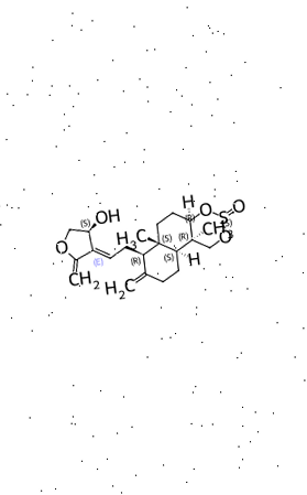 C=C1OC[C@@H](O)/C1=C\C[C@@H]1C(=C)CC[C@@H]2[C@]3(C)CO[S@@](=O)O[C@@H]3CC[C@]21C